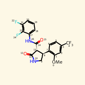 COc1cc(C(F)(F)F)ccc1[C@H]1CNC(=O)[C@@H]1C(=O)Nc1cccc(F)c1F